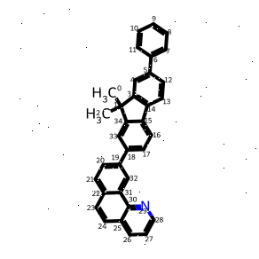 CC1(C)c2cc(-c3ccccc3)ccc2-c2ccc(-c3ccc4ccc5cccnc5c4c3)cc21